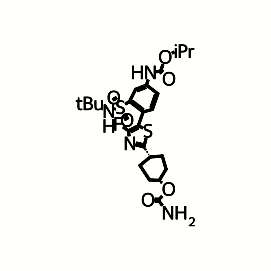 CC(C)OC(=O)Nc1ccc(-c2sc([C@H]3CC[C@H](OC(N)=O)CC3)nc2F)c(S(=O)(=O)NC(C)(C)C)c1